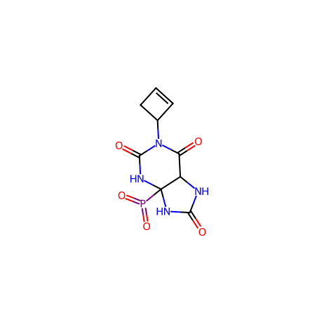 O=C1NC2C(=O)N(C3C=CC3)C(=O)NC2(P(=O)=O)N1